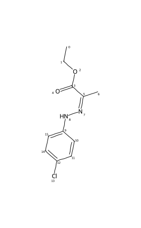 CCOC(=O)C(C)=NNc1ccc(Cl)cc1